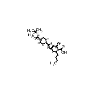 CCCCC1Cc2nc(N3CCN(C(=O)OC(C)(C)C)CC3)sc2C(=O)N1C(=O)O